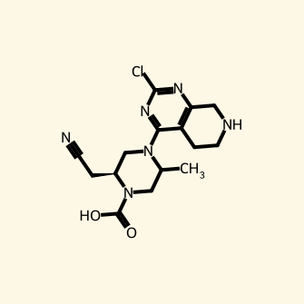 CC1CN(C(=O)O)[C@@H](CC#N)CN1c1nc(Cl)nc2c1CCNC2